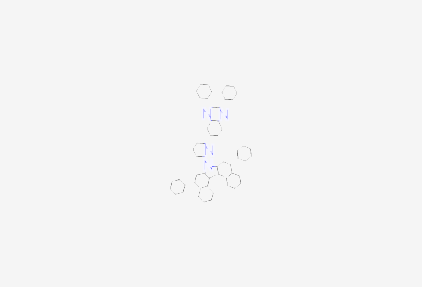 c1ccc(-c2nc3ccc(-c4cccc(-n5c6cc(-c7ccccc7)c7ccccc7c6c6c7ccccc7c(-c7ccccc7)cc65)n4)cc3nc2-c2ccccc2)cc1